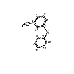 Oc1cccc(Cc2cc[c]cc2)c1